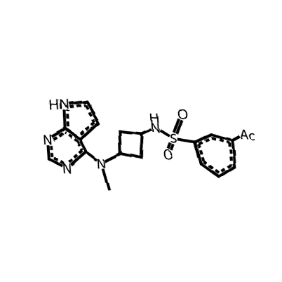 CC(=O)c1cccc(S(=O)(=O)NC2CC(N(C)c3ncnc4[nH]ccc34)C2)c1